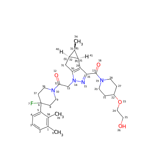 Cc1cccc(C2(F)CCN(C(=O)Cn3nc(C(=O)N4CCC(OCCO)CC4)c4c3C[C@H]3[C@@H](C)[C@@H]43)CC2)c1C